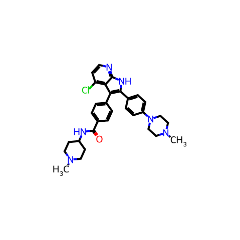 CN1CCC(NC(=O)c2ccc(-c3c(-c4ccc(N5CCN(C)CC5)cc4)[nH]c4nccc(Cl)c34)cc2)CC1